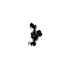 CN(c1nc(OC[C@@]23CCCN2C[C@H](F)C3)nc2c(F)c(-c3cccc4cccc(Cl)c34)ncc12)[C@@H]1CCN(C(=O)C=Cc2nc(C3(F)CCC3)no2)C1